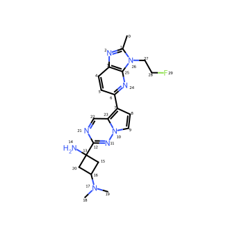 Cc1nc2ccc(-c3ccn4nc(C5(N)CC(N(C)C)C5)ncc34)nc2n1CCF